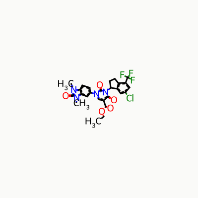 CCOC(=O)c1cn(-c2ccc3c(c2)n(C)c(=O)n3C)c(=O)n(C2CCc3c2cc(Cl)cc3C(F)(F)F)c1=O